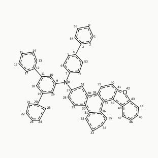 c1ccc(-c2ccc(N(c3cc(-c4ccccc4)cc(-c4ccccc4)c3)c3ccc4c5ccccc5c5c(ccc6oc7ccccc7c65)c4c3)cc2)cc1